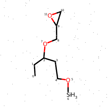 CCC(CCO[SiH3])OCC1CO1